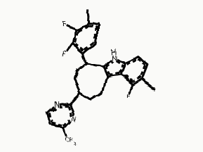 Cc1ccc(C2CCC(c3nccc(C(F)(F)F)n3)CCc3c2[nH]c2ccc(C)c(F)c32)c(F)c1F